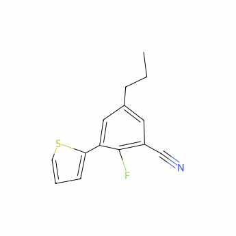 CCCc1cc(C#N)c(F)c(-c2cccs2)c1